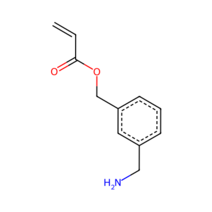 C=CC(=O)OCc1cccc(CN)c1